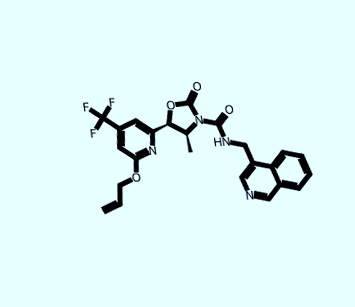 C=CCOc1cc(C(F)(F)F)cc([C@H]2OC(=O)N(C(=O)NCc3cncc4ccccc34)[C@H]2C)n1